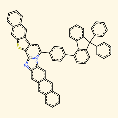 c1ccc(C2(c3ccccc3)c3ccccc3-c3c(-c4ccc(-c5cc6c7cc8ccccc8cc7sc6c6nc7cc8cc9ccccc9cc8cc7n56)cc4)cccc32)cc1